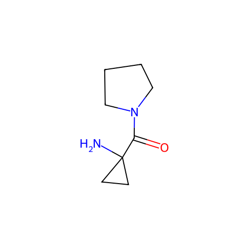 NC1(C(=O)N2CCCC2)CC1